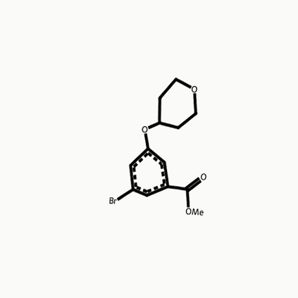 COC(=O)c1cc(Br)cc(OC2CCOCC2)c1